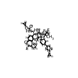 CC(C)(C[C@]1(C2(C)C=CC(c3cnn(C4CC4)n3)=CC2)NC(=N)N([C@H](CNC(=O)OC2CC2)c2ccc(Cl)c(-n3ncnc3C(F)F)c2)C1=O)C(F)(F)F